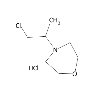 CC(CCl)N1CCOCC1.Cl